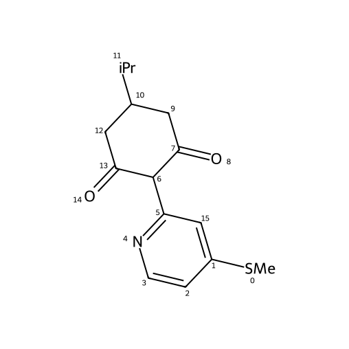 CSc1ccnc(C2C(=O)CC(C(C)C)CC2=O)c1